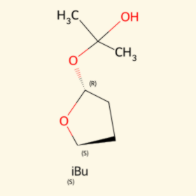 CC[C@H](C)[C@@H]1CC[C@@H](OC(C)(C)O)O1